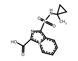 CC1(NS(=O)(=O)c2nc(C(=O)O)n3ccccc23)CC1